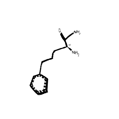 NC(=O)[C@@H](N)CCCc1ccccc1